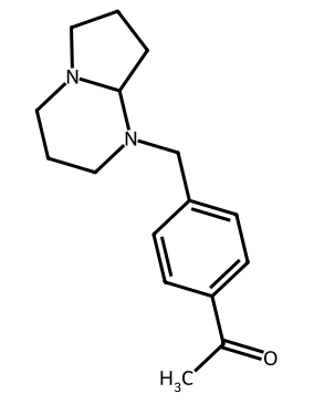 CC(=O)c1ccc(CN2CCCN3CCCC32)cc1